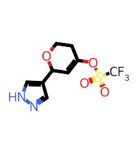 O=S(=O)(OC1=CC(c2cn[nH]c2)OCC1)C(F)(F)F